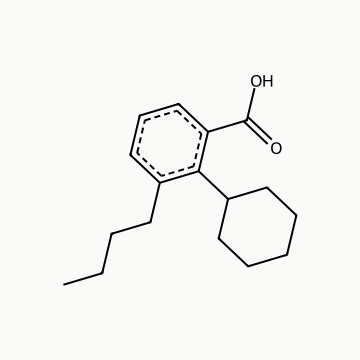 CCCCc1cccc(C(=O)O)c1C1CCCCC1